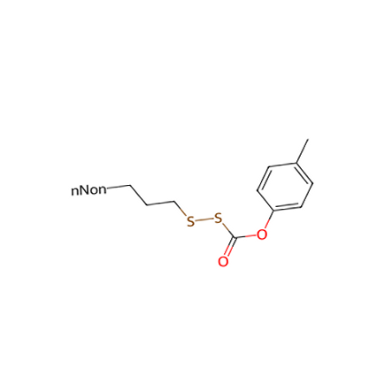 CCCCCCCCCCCCSSC(=O)Oc1ccc(C)cc1